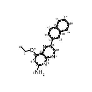 CCOc1nc(N)nc2ncc(-c3ccc4ccccc4c3)nc12